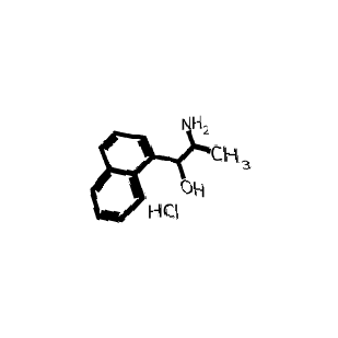 CC(N)C(O)c1cccc2ccccc12.Cl